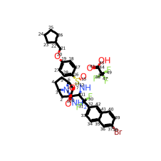 NC1CC2CCC(C1)N2C(=O)C(NS(=O)(=O)c1ccc(OCC2CCCC2)cc1)C(F)(F)c1ccc2cc(Br)ccc2c1.O=C(O)C(F)(F)F